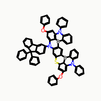 C1=C(Oc2ccccc2)C=C2C3B(c4cc5c(cc4SC13)N(c1ccc3c(c1)-c1ccccc1C3(c1ccccc1)c1ccccc1)c1cc(Oc3ccccc3)cc3c1B5c1ccccc1N3c1ccccc1)c1ccccc1N2c1ccccc1